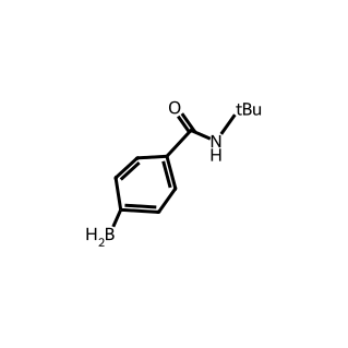 Bc1ccc(C(=O)NC(C)(C)C)cc1